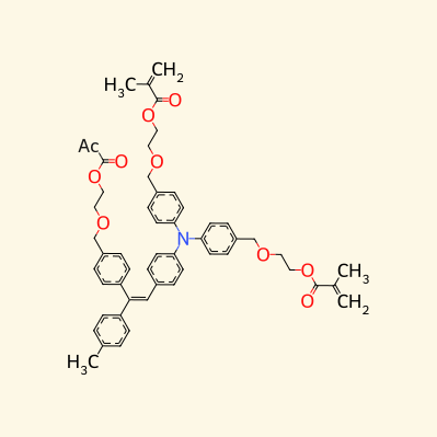 C=C(C)C(=O)OCCOCc1ccc(N(c2ccc(C=C(c3ccc(C)cc3)c3ccc(COCCOC(=O)C(C)=O)cc3)cc2)c2ccc(COCCOC(=O)C(=C)C)cc2)cc1